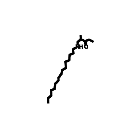 CCCCCCCCCCCCCCCCNCC(C)C(=O)CC